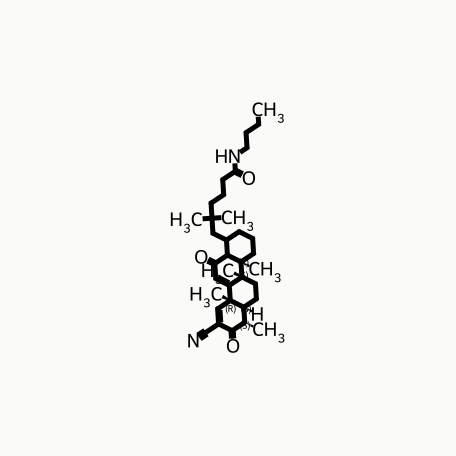 CCCCNC(=O)CCCC(C)(C)CC1CCC[C@]2(C)C1C(=O)C=C1[C@@]3(C)C=C(C#N)C(=O)[C@@H](C)[C@@H]3CC[C@]12C